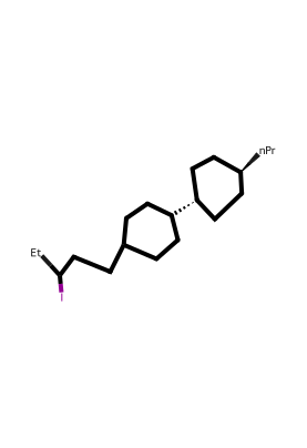 CCC[C@H]1CC[C@H](C2CCC(CCC(I)CC)CC2)CC1